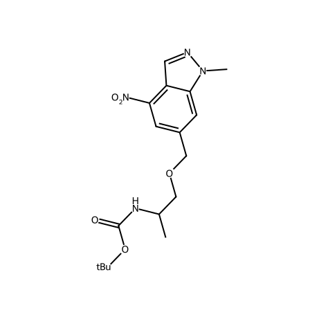 CC(COCc1cc([N+](=O)[O-])c2cnn(C)c2c1)NC(=O)OC(C)(C)C